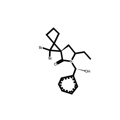 CCC1C[C@@]2(C(=O)N1[C@H](O)c1ccccc1)C(Br)(Br)C21CCC1